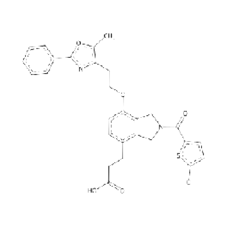 Cc1oc(-c2ccccc2)nc1CCOc1ccc(CCC(=O)O)c2c1CN(C(=O)c1ccc(Cl)s1)C2